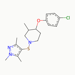 Cc1nn(C)c(C)c1SN1CCC(Oc2ccc(Cl)cc2)C(C)C1